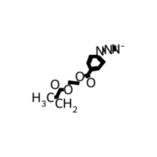 C=C(C)C(=O)OCCOC(=O)c1ccc(N=[N+]=[N-])cc1